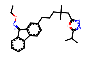 CCO/N=C1/c2ccccc2-c2ccc(CCCC(C)(C)Cc3nnc(C(C)C)o3)cc21